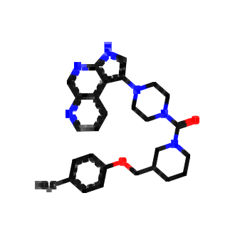 O=C(O)c1ccc(OCC2CCCN(C(=O)N3CCN(c4c[nH]c5ncc6ncccc6c45)CC3)C2)cc1